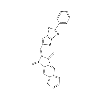 O=C1C(=Cc2cc3oc(-c4ccccc4)nc3o2)C(=O)c2cc3ccccc3cc21